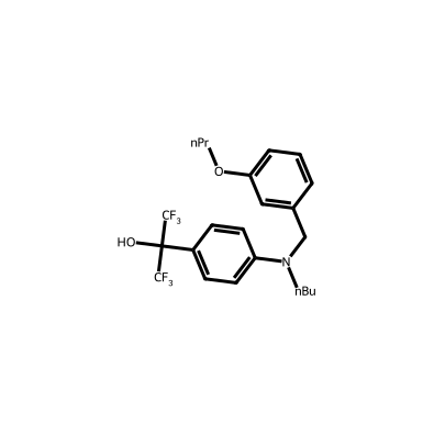 CCCCN(Cc1cccc(OCCC)c1)c1ccc(C(O)(C(F)(F)F)C(F)(F)F)cc1